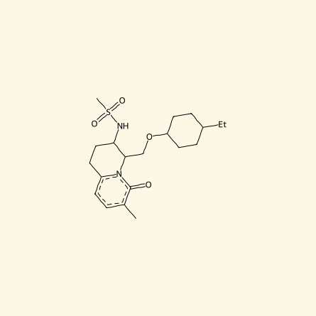 CCC1CCC(OCC2C(NS(C)(=O)=O)CCc3ccc(C)c(=O)n32)CC1